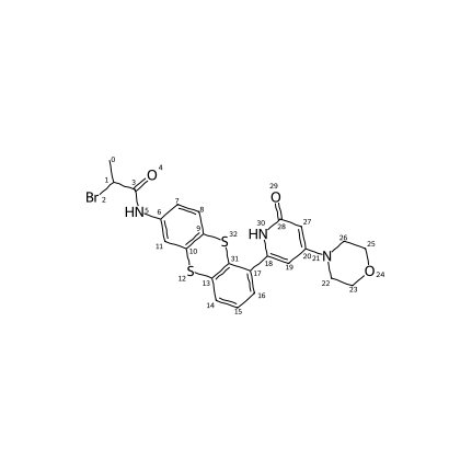 CC(Br)C(=O)Nc1ccc2c(c1)Sc1cccc(-c3cc(N4CCOCC4)cc(=O)[nH]3)c1S2